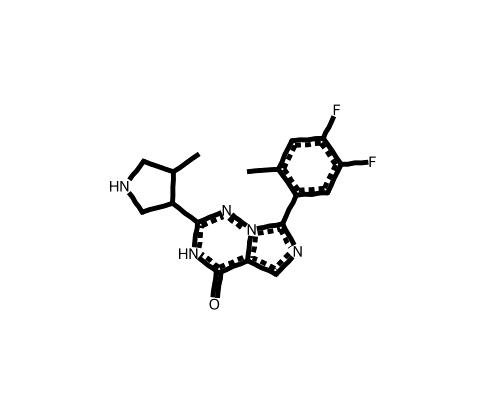 Cc1cc(F)c(F)cc1-c1ncc2c(=O)[nH]c(C3CNCC3C)nn12